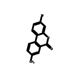 Cc1ccc2c(c1)c(=O)oc1cc(Br)ccc12